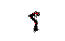 CC(C)(C)c1noc(C(=O)NCc2ccc(-c3n[nH]c4ncc(-c5ccc(C6CCN(CC7CCN(c8ccc(N9CCC(=O)NC9=O)cc8)CC7)CC6)cc5)cc34)cc2F)n1